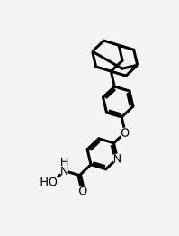 O=C(NO)c1ccc(Oc2ccc(C34CC5CC(CC(C5)C3)C4)cc2)nc1